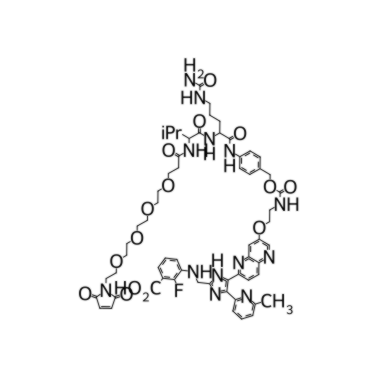 Cc1cccc(-c2nc(CNc3cccc(C(=O)O)c3F)[nH]c2-c2ccc3ncc(OCCNC(=O)OCc4ccc(NC(=O)C(CCCNC(N)=O)NC(=O)C(NC(=O)CCOCCOCCOCCOCCN5C(=O)C=CC5=O)C(C)C)cc4)cc3n2)n1